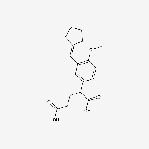 COc1ccc(C(CCC(=O)O)C(=O)O)cc1C=C1CCCC1